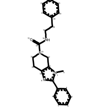 Cn1c(-c2ccccc2)nc2c1CN(C(=O)NCCc1ccccc1)CC2